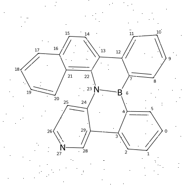 c1ccc2c(c1)B1c3ccccc3-c3ccc4ccccc4c3N1c1ccncc1-2